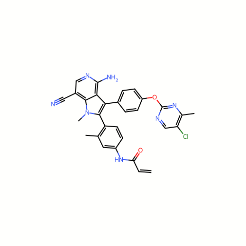 C=CC(=O)Nc1ccc(-c2c(-c3ccc(Oc4ncc(Cl)c(C)n4)cc3)c3c(N)ncc(C#N)c3n2C)c(C)c1